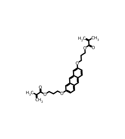 C=C(C)C(=O)OCCCOc1ccc2cc3ccc(OCCCOC(=O)C(=C)C)cc3cc2c1